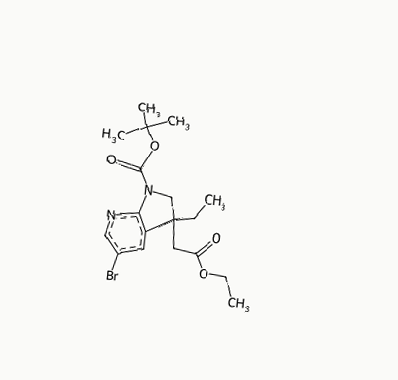 CCOC(=O)CC1(CC)CN(C(=O)OC(C)(C)C)c2ncc(Br)cc21